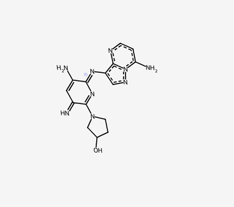 N=C1C=C(N)/C(=N/c2cnn3c(N)ccnc23)N=C1N1CCC(O)C1